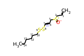 C=CC[S+]([O-])C/C=C/SSCCCCCC